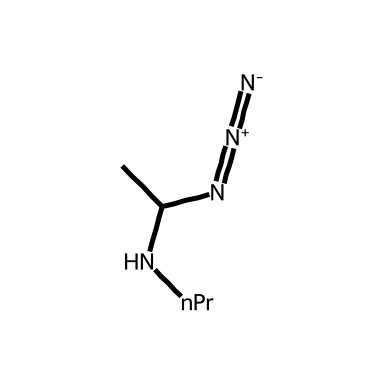 CCCNC(C)N=[N+]=[N-]